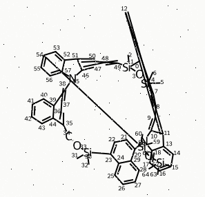 C[Si]1(C)O[Si](C)(C)c2ccc3c(c2)c2cc4ccc2n3-c2ccc(c3ccccc23)[Si](C)(C)OCc2ccc(c3ccccc23)-n2c3ccc1cc3c1cc(ccc12)[Si](C)(C)O[Si]4(C)C